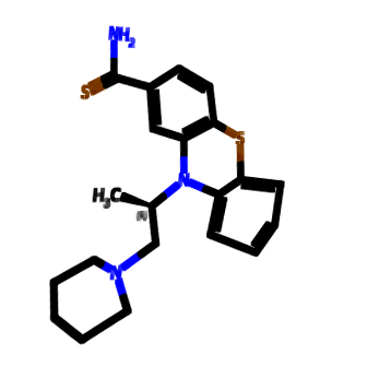 C[C@H](CN1CCCCC1)N1c2ccccc2Sc2ccc(C(N)=S)cc21